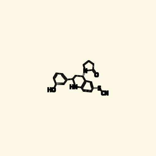 N#CSc1ccc2c(c1)[C@@H](N1CCCC1=O)CC(c1cccc(O)c1)N2